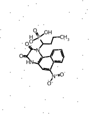 CCCC(n1c(=O)c(=O)[nH]c2cc([N+](=O)[O-])c3ccccc3c21)P(=O)(O)O